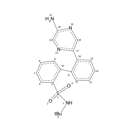 CC(C)(C)NS(=O)(=O)c1ccccc1-c1ccccc1-c1cnc(N)cn1